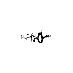 Cc1ncn(-c2ccc(C#N)c(F)c2)n1